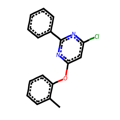 Cc1ccccc1Oc1cc(Cl)nc(-c2ccccc2)n1